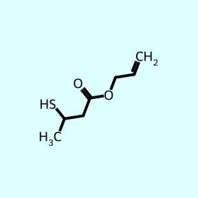 C=CCOC(=O)CC(C)S